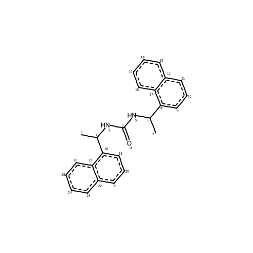 CC(NC(=O)NC(C)c1cccc2ccccc12)c1cccc2ccccc12